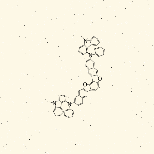 Cn1c2ccccc2c2c(N(c3ccccc3)c3ccc4cc5c(cc4c3)oc3c5ccc4oc5cc6cc(N(c7ccccc7)c7cccc8c7c7ccccc7n8C)ccc6cc5c43)cccc21